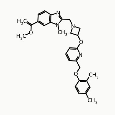 C=C(OC)c1ccc2nc(CN3CC(Oc4cccc(COc5ccc(C)cc5C)n4)C3)n(C)c2c1